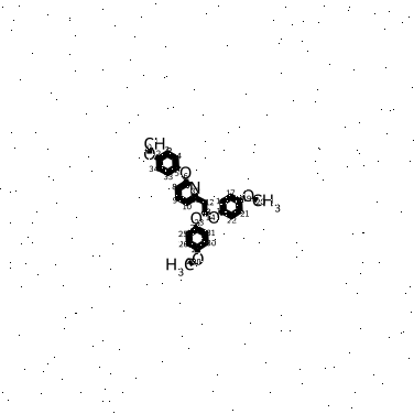 COc1ccc(Oc2cccc(CC(Oc3ccc(OC)cc3)Oc3ccc(OC)cc3)n2)cc1